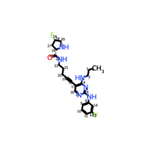 CCCNc1nc(Nc2cccc(F)c2)ncc1C#CCCCNC(=O)[C@@H]1C[C@@H](F)CN1